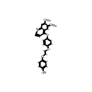 COc1cc2nccc(Oc3ccc(SCCOc4ccc(C(C)C)cc4)cc3)c2cc1OC